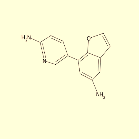 Nc1cc(-c2ccc(N)nc2)c2occc2c1